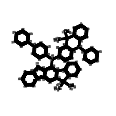 CC1(C)c2ccccc2N(c2ccccc2)c2ccc(N(c3ccc(-c4ccccc4)cc3)c3c4c(cc5c3oc3ccccc35)C(C)(C)c3ccccc3-4)cc21